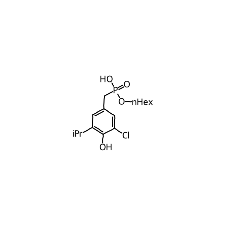 CCCCCCOP(=O)(O)Cc1cc(Cl)c(O)c(C(C)C)c1